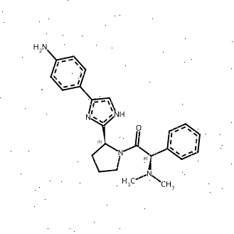 CN(C)[C@@H](C(=O)N1CCC[C@H]1c1nc(-c2ccc(N)cc2)c[nH]1)c1ccccc1